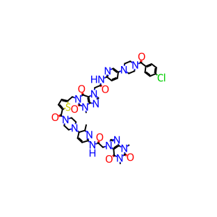 CC1N=C(NC(=O)Cn2cnc3c2c(=O)n(C)c(=O)n3C)C=CC1N1CCN(C(=O)c2ccc(Cn3c(=O)c4c(ncn4CC(=O)Nc4ccc(N5CCN(C(=O)c6ccc(Cl)cc6)CC5)cn4)n(C)c3=O)s2)CC1